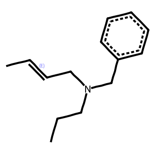 C/C=C/CN(CCC)Cc1ccccc1